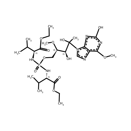 CCOC(=O)[C@@H](NP(=O)(N[C@H](C(=O)OCC)C(C)C)OC[C@@H](OC)[C@H](O)C(C)(O)n1cnc2c(OC)nc(O)nc21)C(C)C